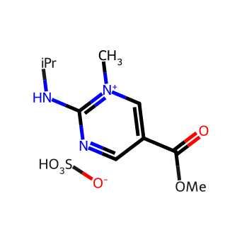 COC(=O)c1cnc(NC(C)C)[n+](C)c1.O=S(=O)([O-])O